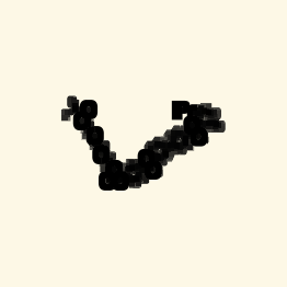 C=C(C)C(=O)OCCOCCOCCOC(=O)Oc1ccc(C(=O)Oc2ccc(-c3ccc(C(=O)OC4CC(C)CCC4C(C)C)cc3)cc2)cc1